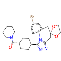 O=C([C@H]1CC[C@H](c2nnc3n2-c2ccc(Br)cc2CC2(C3)OCCO2)CC1)N1CCCCC1